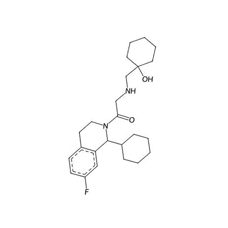 O=C(CNCC1(O)CCCCC1)N1CCc2ccc(F)cc2C1C1CCCCC1